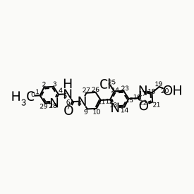 Cc1ccc(NC(=O)N2CC=C(c3ncc(-c4nc(CO)co4)cc3Cl)CC2)nc1